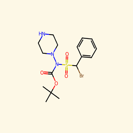 CC(C)(C)OC(=O)N(N1CCNCC1)S(=O)(=O)C(Br)c1ccccc1